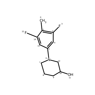 Cc1c(F)cc(N2CCCC(O)C2)cc1F